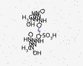 CN(CCO)c1nc(Nc2ccccc2)nc(Nc2ccc(/C=C/c3ccc(Nc4nc(Nc5ccccc5)nc(N(C)CCO)n4)cc3S(=O)(=O)O)cc2)n1